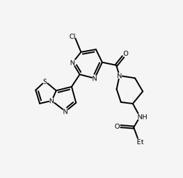 CCC(=O)NC1CCN(C(=O)c2cc(Cl)nc(-c3cnn4ccsc34)n2)CC1